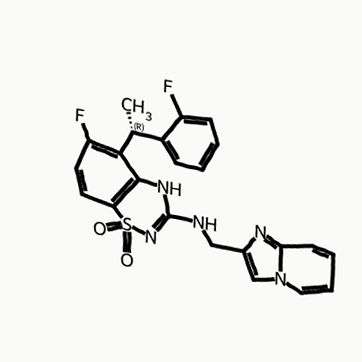 C[C@H](c1ccccc1F)c1c(F)ccc2c1NC(NCc1cn3ccccc3n1)=NS2(=O)=O